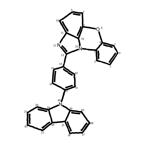 c1ccc2c(c1)Oc1cccc3nc(-c4ccc(-n5c6ccccc6c6ccccc65)cc4)n-2c13